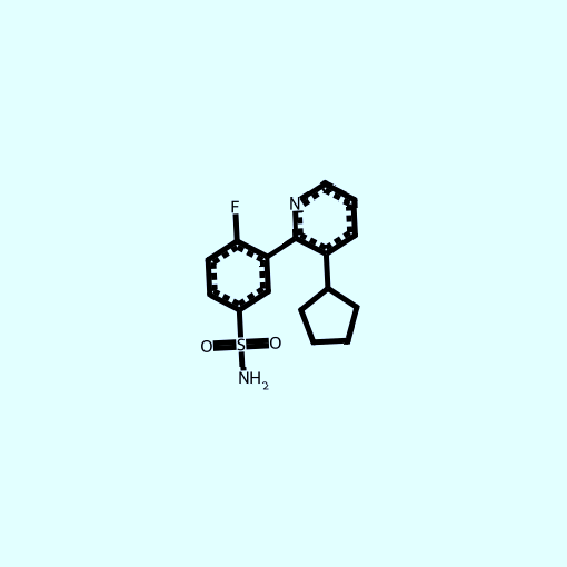 NS(=O)(=O)c1ccc(F)c(-c2ncccc2C2CCCC2)c1